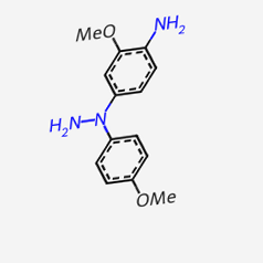 COc1ccc(N(N)c2ccc(N)c(OC)c2)cc1